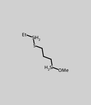 CC[SiH2]SCCC[SiH2]OC